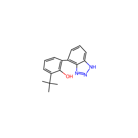 CC(C)(C)c1cccc(-c2cccc3[nH]nnc23)c1O